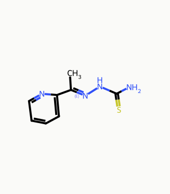 C/C(=N\NC(N)=S)c1ccccn1